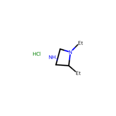 CCC1CCN1CC.Cl.N